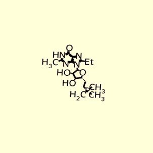 C=P(C)(C)CC[C@H]1OC(n2c(CC)nc3c(=O)[nH]c(C)nc32)[C@H](O)[C@@H]1O